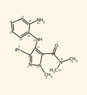 CC(C)c1nn(C)c(C(=O)N(C)C)c1Nc1ccccc1N